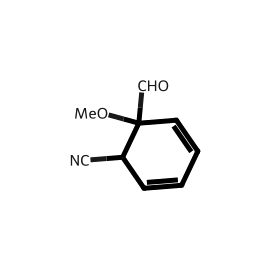 COC1(C=O)C=CC=CC1C#N